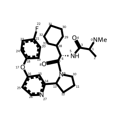 CNC(C)C(=O)N[C@H](C(=O)N1CCCC1c1cc(Oc2ccc(F)cc2)ccn1)C1CCCCC1